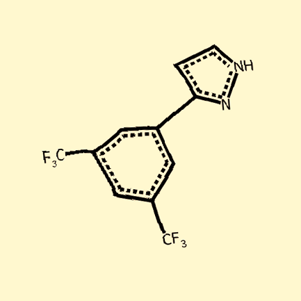 FC(F)(F)c1cc(-c2cc[nH]n2)cc(C(F)(F)F)c1